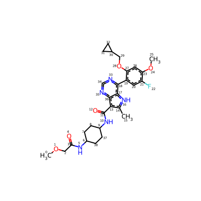 COCC(=O)NC1CCC(NC(=O)c2c(C)[nH]c3c(-c4cc(F)c(OC)cc4OCC4CC4)ncnc23)CC1